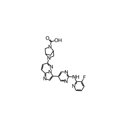 O=C(O)N1CC2CC1CN2c1ccc2ncc(-c3cnc(Nc4ncccc4F)nc3)n2n1